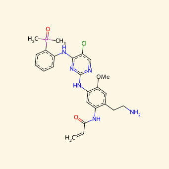 C=CC(=O)Nc1cc(Nc2ncc(Cl)c(Nc3ccccc3P(C)(C)=O)n2)c(OC)cc1CCN